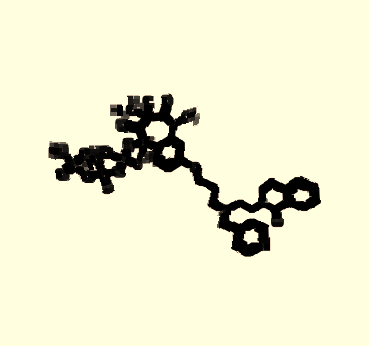 CN1C(=O)C(C)(C)C(=O)[N+](C)(OP(=O)(O)OP(=O)([O-])OP(=O)(O)O)c2ccc(OCCCN(CCN3CCc4ccccc4C3=O)Cc3ccncc3)cc21